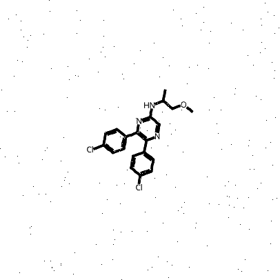 COCC(C)Nc1cnc(-c2ccc(Cl)cc2)c(-c2ccc(Cl)cc2)n1